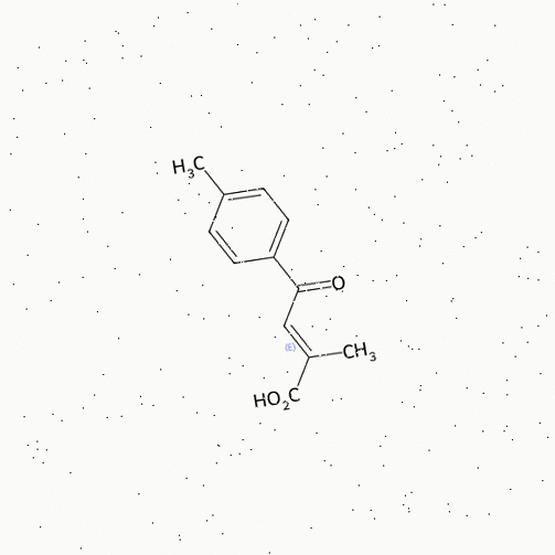 C/C(=C\C(=O)c1ccc(C)cc1)C(=O)O